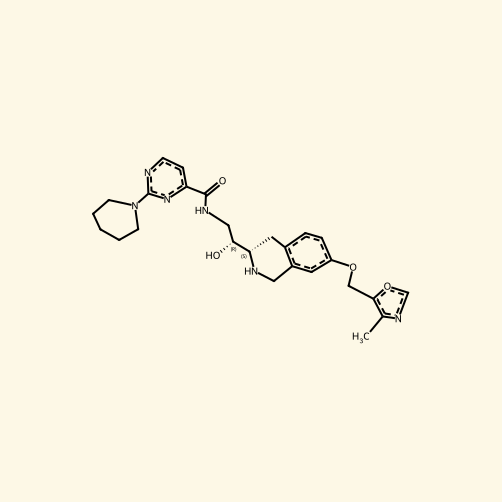 Cc1ncoc1COc1ccc2c(c1)CN[C@H]([C@H](O)CNC(=O)c1ccnc(N3CCCCC3)n1)C2